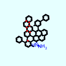 Cc1ccc(-c2ccccc2)cc1-c1c(NN)c2ccc3cccc4c(-c5cc(-c6ccccc6)ccc5C)c(-c5cc(-c6ccccc6)ccc5C)c(c1-c1cc(-c5ccccc5)ccc1C)c2c34